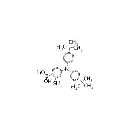 CC(C)(C)c1ccc(N(c2ccc(C(C)(C)C)cc2)c2ccc(B(O)O)c(S)c2)cc1